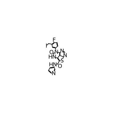 O=C(Nc1cccnc1)c1sc2ncnc3c2c1NC(=O)N3c1ccc(F)c(CI)c1